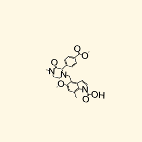 COC(=O)c1ccc(C2C(=O)N(C)CCN2Cc2c(OC)cc(C)c3c2ccn3C(=O)O)cc1